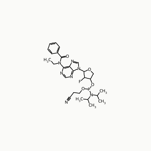 CCN(C(=O)c1ccccc1)c1ncnc2c1ncn2C1OCC(OP(OCCC#N)N(C(C)C)C(C)C)C1F